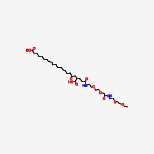 CCOCCOCCNC(=O)COCCOCCNC(=O)CC[C@H](CC(=O)CCCCCCCCCCCCCCCCC(=O)O)C(=O)O